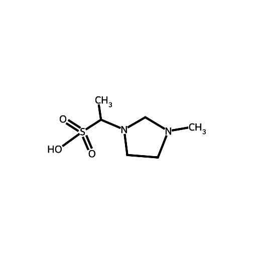 CC(N1CCN(C)C1)S(=O)(=O)O